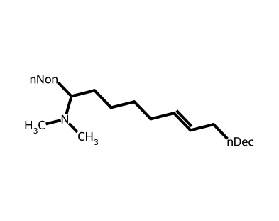 CCCCCCCCCCC/C=C/CCCCC(CCCCCCCCC)N(C)C